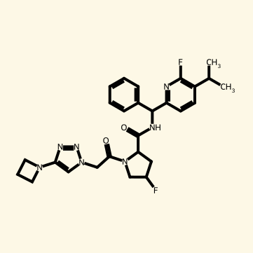 CC(C)c1ccc(C(NC(=O)C2CC(F)CN2C(=O)Cn2cc(N3CCC3)nn2)c2ccccc2)nc1F